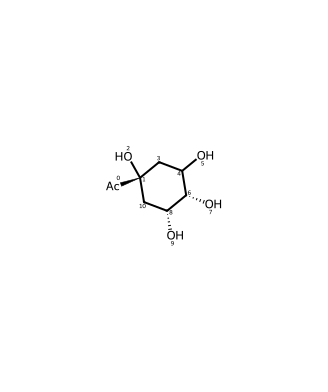 CC(=O)[C@@]1(O)CC(O)[C@H](O)[C@H](O)C1